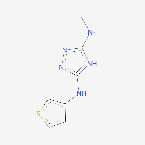 CN(C)c1nnc(Nc2ccsc2)[nH]1